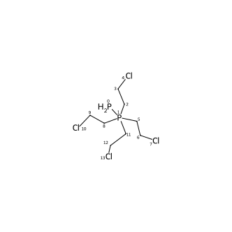 PP(CCCl)(CCCl)(CCCl)CCCl